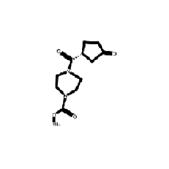 CC(C)(C)OC(=O)N1CCN(C(=O)[C@@H]2CCC(=O)C2)CC1